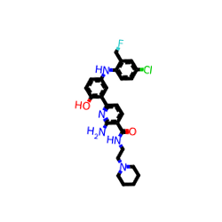 Nc1nc(-c2cc(Nc3ccc(Cl)cc3CF)ccc2O)ccc1C(=O)NCCN1CCCCC1